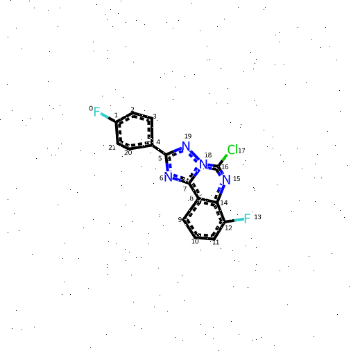 Fc1ccc(-c2nc3c4cccc(F)c4nc(Cl)n3n2)cc1